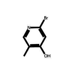 Cc1cnc(Br)cc1O